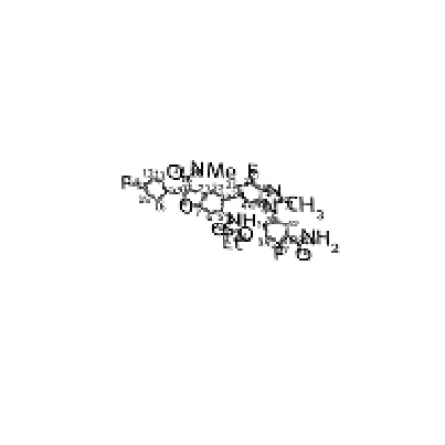 CCS(=O)(=O)Nc1cc2oc(-c3ccc(F)cc3)c(C(=O)NC)c2cc1-c1cc(F)c2nc(C)n(-c3ccc(F)c(C(N)=O)c3)c2c1